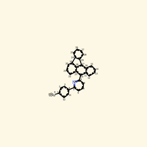 CC(C)(C)c1ccc(-c2cccc(-c3c4ccccc4c4c5c(cccc35)-c3ccccc3-4)n2)cc1